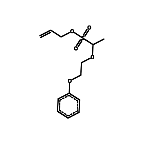 C=CCOS(=O)(=O)C(C)OCCOc1ccccc1